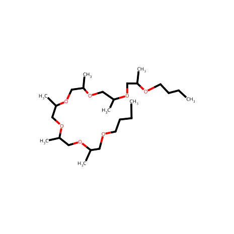 CCCCOCC(C)OCC(C)OCC(C)OCC(C)OCC(C)OCC(C)OCCCC